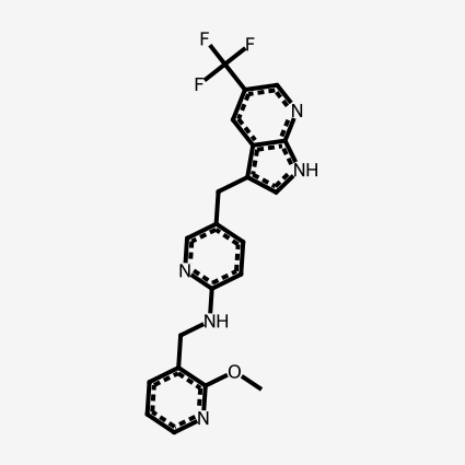 COc1ncccc1CNc1ccc(Cc2c[nH]c3ncc(C(F)(F)F)cc23)cn1